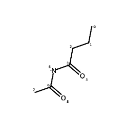 CCCC(=O)[N]C(C)=O